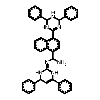 NC(/N=C1\NC(c2ccccc2)=CC(c2ccccc2)N1)c1ccc(C2=NC(c3ccccc3)NC(c3ccccc3)N2)c2ccccc12